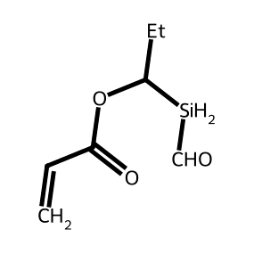 C=CC(=O)OC(CC)[SiH2]C=O